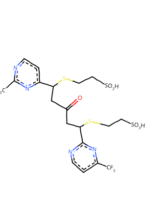 O=C(CC(SCCS(=O)(=O)O)c1ccnc(C(F)(F)F)n1)CC(SCCS(=O)(=O)O)c1nccc(C(F)(F)F)n1